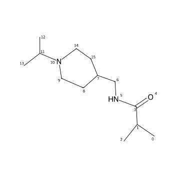 CC(C)C(=O)NCC1CCN(C(C)C)CC1